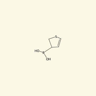 OB(O)C1C=CSC1